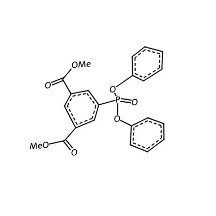 COC(=O)c1cc(C(=O)OC)cc(P(=O)(Oc2ccccc2)Oc2ccccc2)c1